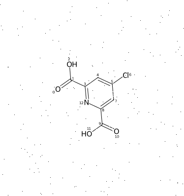 O=C(O)c1cc(Cl)cc(C(=O)O)n1